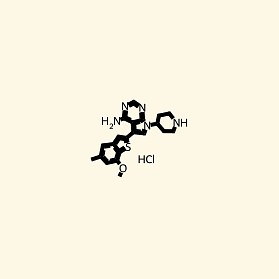 COc1cc(C)cc2cc(-c3cn(C4CCNCC4)c4ncnc(N)c34)sc12.Cl